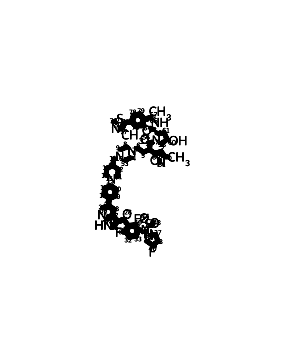 Cc1cc(C(CCN2CCN(CC3CCN(c4ccc(-c5cnc6[nH]cc(C(=O)c7c(F)ccc(N(N8CC[C@@H](F)C8)[SH](=O)=O)c7F)c6c5)cc4)CC3)CC2)C(=O)N2C[C@H](O)C[C@H]2C(=O)N[C@@H](C)c2ccc(-c3scnc3C)cc2)on1